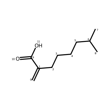 C=C(CCCCC(C)C)C(=O)O